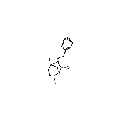 O=C1N2C[C@@H](CC[C@H]2Cl)N1OCc1ccccc1